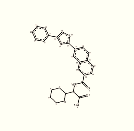 O=C(NC(C(=O)O)C1CCCCC1)c1ccc2ccc(-c3nc(-c4ccccc4)cs3)cc2c1